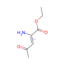 CCOC(=O)/C(N)=C/C(C)=O